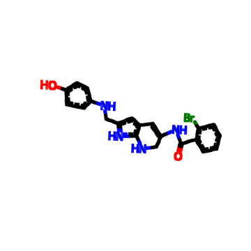 O=C(NC1=Cc2cc(CNc3ccc(O)cc3)[nH]c2NC1)c1ccccc1Br